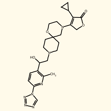 Cc1nc(-n2cnnn2)ccc1C(O)CN1CCC2(CC1)CN(C1=C(C3CC3)C(=O)OC1)CCO2